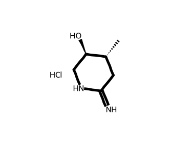 C[C@@H]1CC(=N)NC[C@H]1O.Cl